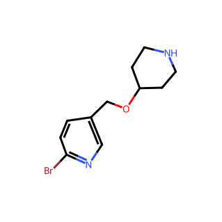 Brc1ccc(COC2CCNCC2)cn1